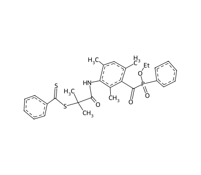 CCOP(=O)(C(=O)c1c(C)cc(C)c(NC(=O)C(C)(C)SC(=S)c2ccccc2)c1C)c1ccccc1